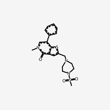 Cn1cc(-c2ccccc2)c2sc(CN3CCN(S(C)(=O)=O)CC3)cc2c1=O